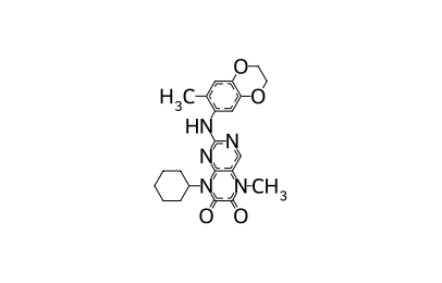 Cc1cc2c(cc1Nc1ncc3c(n1)n(C1CCCCC1)c(=O)c(=O)n3C)OCCO2